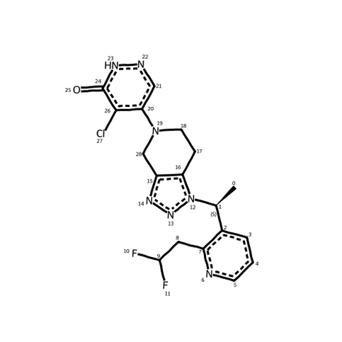 C[C@@H](c1cccnc1CC(F)F)n1nnc2c1CCN(c1cn[nH]c(=O)c1Cl)C2